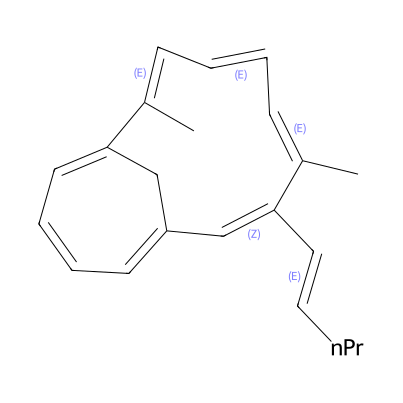 CCC/C=C/C1=C/C2=CC=CC=C(C2)\C(C)=C\C=C\C=C\1C